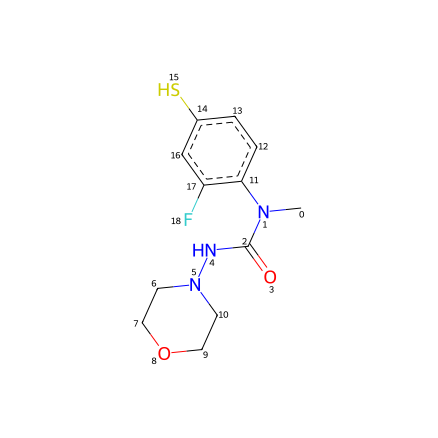 CN(C(=O)NN1CCOCC1)c1ccc(S)cc1F